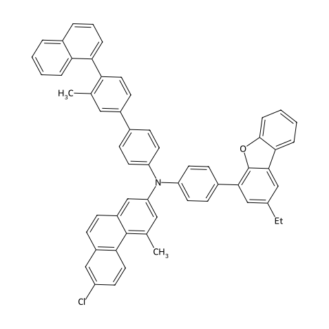 CCc1cc(-c2ccc(N(c3ccc(-c4ccc(-c5cccc6ccccc56)c(C)c4)cc3)c3cc(C)c4c(ccc5cc(Cl)ccc54)c3)cc2)c2oc3ccccc3c2c1